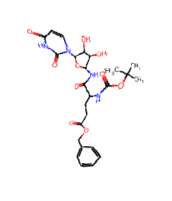 CC(C)(C)OC(=O)NC(CCC(=O)OCc1ccccc1)C(=O)N[C@H]1O[C@@H](n2ccc(=O)[nH]c2=O)C(O)[C@H]1O